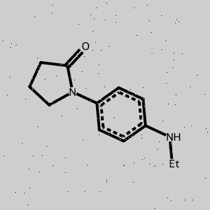 CCNc1ccc(N2CCCC2=O)cc1